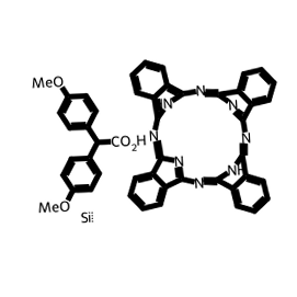 COc1ccc(C(C(=O)O)c2ccc(OC)cc2)cc1.[Si].c1ccc2c(c1)-c1nc-2nc2[nH]c(nc3nc(nc4[nH]c(n1)c1ccccc41)-c1ccccc1-3)c1ccccc21